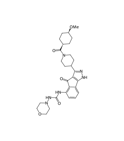 CO[C@H]1CC[C@@H](C(=O)N2CCC(c3n[nH]c4c3C(=O)c3c(NC(=O)NN5CCOCC5)cccc3-4)CC2)CC1